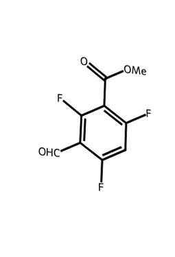 COC(=O)c1c(F)cc(F)c(C=O)c1F